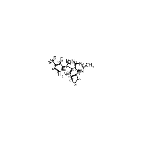 Cc1nc(N)c2c(C(C)c3cccc(C(F)F)c3F)c(N)c3c(c2n1)CCO3